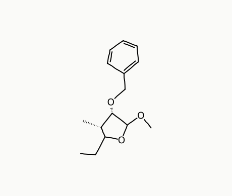 CCC1OC(OC)[C@@H](OCc2ccccc2)[C@H]1C